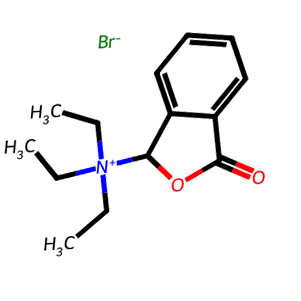 CC[N+](CC)(CC)C1OC(=O)c2ccccc21.[Br-]